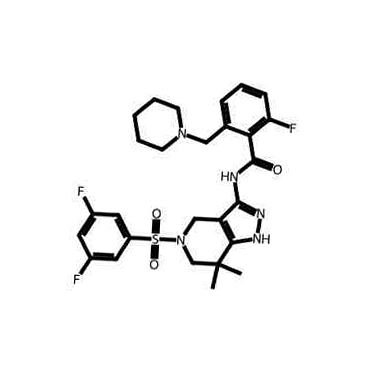 CC1(C)CN(S(=O)(=O)c2cc(F)cc(F)c2)Cc2c(NC(=O)c3c(F)cccc3CN3CCCCC3)n[nH]c21